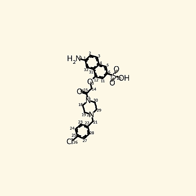 Nc1ccc2cc(S(=O)(=O)O)cc(OCC(=O)N3CCN(Cc4ccc(Cl)cc4)CC3)c2c1